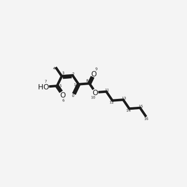 C=C(C=C(C)C(=O)O)C(=O)OCCCCCC